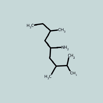 CCC(C)CC(N)CC(C)C(C)C